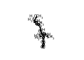 CSCC[C@@H](C(N)=O)N(C(=O)[C@H](CC(C)C)NC(=O)CCC(=O)NCCCO[C@H]1CC[C@@]2(C)C(=CCC3C2CC[C@@]2(C)C3CC[C@@H]2[C@H](C)CCCC(C)C)C1)c1ccc(COC(=O)Oc2ccc([N+](=O)[O-])cc2)cc1